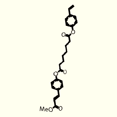 C=Cc1ccc(OC(=O)CCCCCCC(=O)Oc2ccc(/C=C/C(=O)OC)cc2)cc1